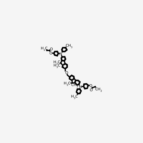 C=CC(=O)Oc1ccc(N(c2ccc(C)cc2)c2ccc3c(c2)C(C)(C)c2cc(COCc4ccc5c(c4)C(C)(C)c4cc(N(c6ccc(C)cc6)c6ccc(OC(=O)C=C)cc6)ccc4-5)ccc2-3)cc1